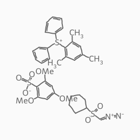 COc1cc(OC)c(S(=O)(=O)[O-])c(OC)c1.Cc1cc(C)c([S+](c2ccccc2)c2ccccc2)c(C)c1.[N-]=[N+]=CS(=O)(=O)C1CCCCC1